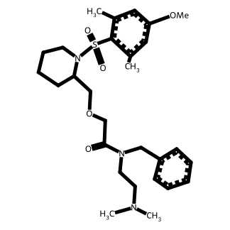 COc1cc(C)c(S(=O)(=O)N2CCCCC2COCC(=O)N(CCN(C)C)Cc2ccccc2)c(C)c1